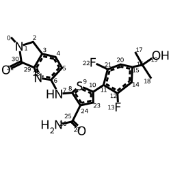 CN1Cc2ccc(Nc3sc(-c4c(F)cc(C(C)(C)O)cc4F)cc3C(N)=O)nc2C1=O